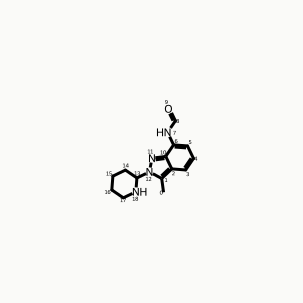 Cc1c2cccc(NC=O)c2nn1C1CCCCN1